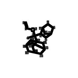 C=COC(C)(C1CC2CCC1C2)C12CC3CC(CC(C3)C1)C2